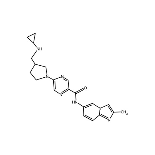 Cc1cn2cc(NC(=O)c3cnc(N4CCC(CNC5CC5)C4)cn3)ccc2n1